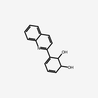 OC1C=CC=C(c2ccc3ccccc3n2)C1O